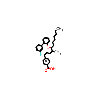 CCCCCCCC(Oc1c[c]ccc1-c1cccc(F)c1)C(C)CCCC12CCC(C(=O)O)(CC1)CC2